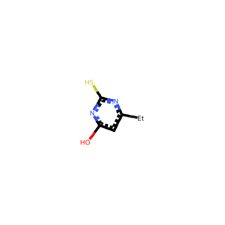 CCc1cc(O)nc(S)n1